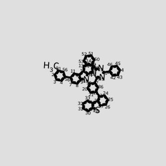 Cc1cccc(-c2ccc3c(c2)c2ccccc2n3-c2ccc(-c3cccc4sc5ccccc5c34)cc2-c2nc(-c3ccccc3)nc(-c3ccccc3)n2)c1